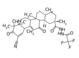 CC1(C)C(=O)C(C#N)=C[C@]2(C)C3=CC(=O)C4[C@@H]5C[C@@](C)(C(=O)NNC(=O)C(F)(F)F)CC[C@]5(C)CCC4(C)[C@]3(C)CCC12